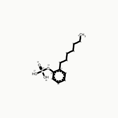 CCCCCCCc1ccccc1OP(=O)(O)O